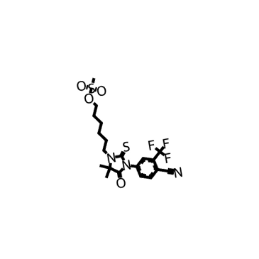 CC1(C)C(=O)N(c2ccc(C#N)c(C(F)(F)F)c2)C(=S)N1CCCCCCOS(C)(=O)=O